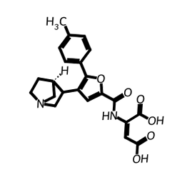 Cc1ccc(-c2oc(C(=O)N/C(=C/C(=O)O)C(=O)O)cc2C2CN3CC[C@@H]2C3)cc1